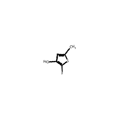 Cc1cc(O)c(F)s1